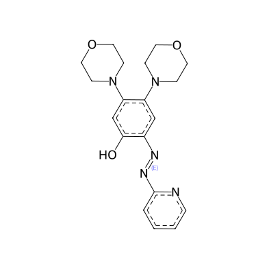 Oc1cc(N2CCOCC2)c(N2CCOCC2)cc1/N=N/c1ccccn1